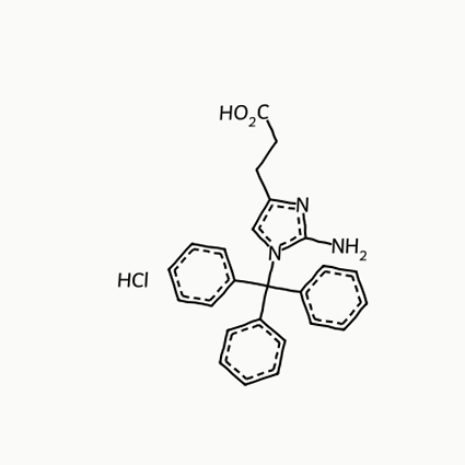 Cl.Nc1nc(CCC(=O)O)cn1C(c1ccccc1)(c1ccccc1)c1ccccc1